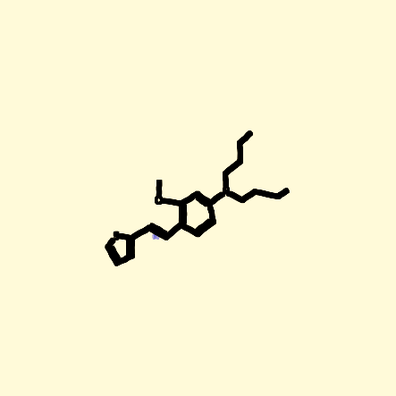 CCCCN(CCCC)c1ccc(/C=C/c2cccs2)c(OC)c1